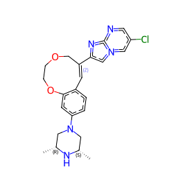 C[C@@H]1CN(c2ccc3c(c2)OCCOC/C(c2cn4cc(Cl)cnc4n2)=C\3)C[C@H](C)N1